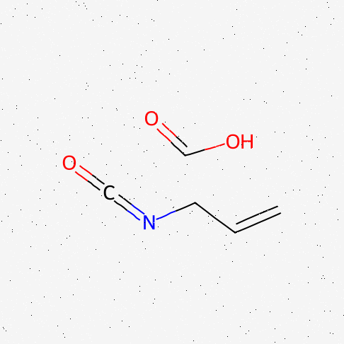 C=CCN=C=O.O=CO